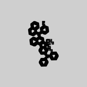 CC1(C)c2cc(N(c3ccccc3)c3ccccc3)ccc2-c2c1cc(N(c1cccc(F)c1)c1cccc3ccccc13)c1ccccc21